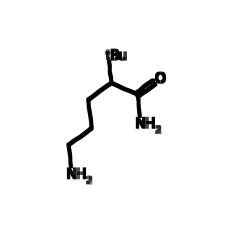 CC(C)(C)C(CCCN)C(N)=O